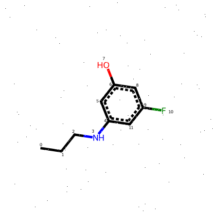 CCCNc1cc(O)cc(F)c1